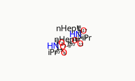 CCCCCCCC(=O)NC(C(=O)OCCCOC(=O)C(NC(=O)CCCCCCC)C(C)C)C(C)C